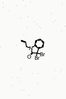 C=CCN1C(=O)C(Br)(Br)c2ccccc21